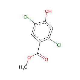 COC(=O)c1cc(Cl)c(O)cc1Cl